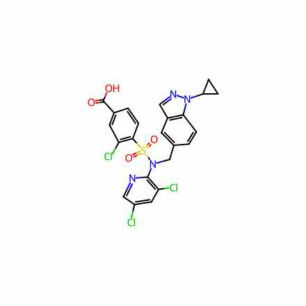 O=C(O)c1ccc(S(=O)(=O)N(Cc2ccc3c(cnn3C3CC3)c2)c2ncc(Cl)cc2Cl)c(Cl)c1